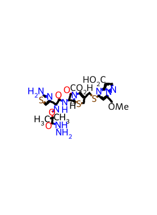 COCc1cc(SCC2=C(C(=O)O)N3C(=O)C(NC(=O)C(=NOC(C)(C)C(=O)NN)c4csc(N)n4)[C@@H]3SC2)nc2c(C(=O)O)cnn12